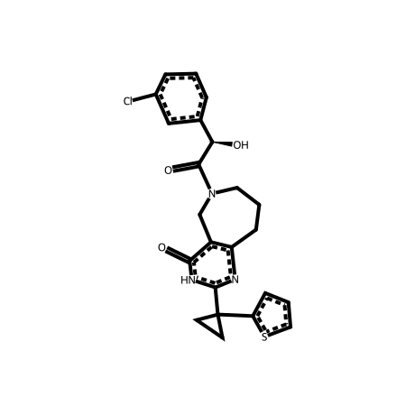 O=C([C@H](O)c1cccc(Cl)c1)N1CCCc2nc(C3(c4cccs4)CC3)[nH]c(=O)c2C1